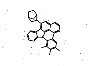 Cc1cc2c3nccc4cc(C5CC6CCC5C6)c5c6ccccc6n(c2c(C)c1C)c5c43